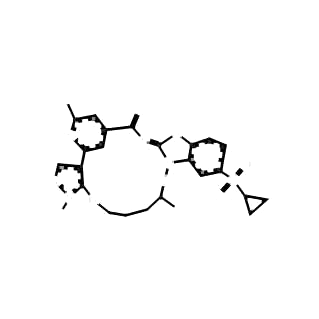 Cc1cc2cc(n1)-c1cnn(C)c1NCCCC(C)CN1/C(=N/C2=O)Nc2ccc(S(=N)(=O)C3CC3)cc21